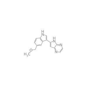 COCc1ccc2[nH]cc(-c3cc4nccnc4[nH]3)c2c1